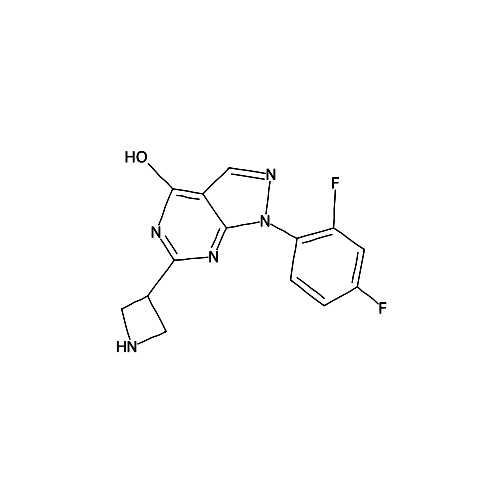 Oc1nc(C2CNC2)nc2c1cnn2-c1ccc(F)cc1F